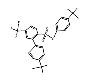 CC(C)(C)c1ccc(OS(=O)(=O)c2ccc(C(F)(F)F)cc2-c2ccc(C(C)(C)C)cc2)cc1